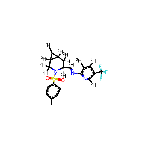 [2H]/C(=N\c1nc([2H])c(C(F)(F)F)c([2H])c1[2H])[C@@]1([2H])N(S(=O)(=O)c2ccc(C)cc2)C([2H])([2H])[C@]2([2H])C([2H])[C@]2([2H])C1([2H])[2H]